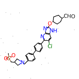 CS(=O)(=O)CC1CN(Cc2ccc(-c3ccc(-c4nc5nc(O[C@H]6CC[C@H](C=O)CC6)[nH]c5cc4Cl)cc3)cc2)C1